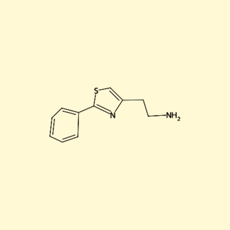 NCCc1csc(-c2ccccc2)n1